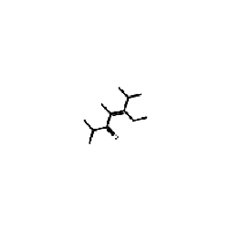 CC/C(=C(/C)C(=O)C(C)C)C(C)C